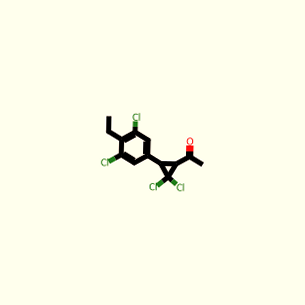 CCc1c(Cl)cc(C2C(C(C)=O)C2(Cl)Cl)cc1Cl